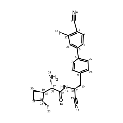 N#Cc1ccc(-c2ccc(C[C@@H](C#N)NC(=O)[C@@H](N)[C@@H]3CC[C@@H]3F)cc2)cc1F